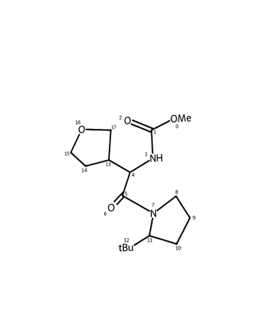 COC(=O)NC(C(=O)N1CCCC1C(C)(C)C)C1CCOC1